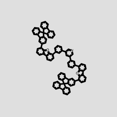 c1cc(-c2cncc(-c3cccc(-c4cccc5c4oc4c(-c6ccc7c(c6)-c6ccccc6C76c7ccccc7-c7ccccc76)cccc45)c3)c2)cc(-c2cccc3c2oc2c(-c4ccc5c(c4)-c4ccccc4C54c5ccccc5-c5ccccc54)cccc23)c1